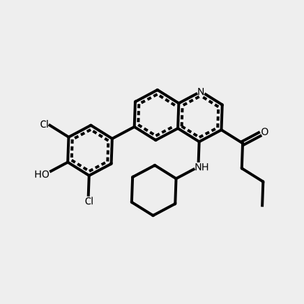 CCCC(=O)c1cnc2ccc(-c3cc(Cl)c(O)c(Cl)c3)cc2c1NC1CCCCC1